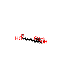 O=C(O)CCCCCCCCCC(CC(O)CO)C(=O)O